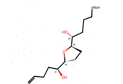 C=CCC[C@H](O)[C@H]1CC[C@H]([C@H](O)CCCCCCCCCCCC)O1